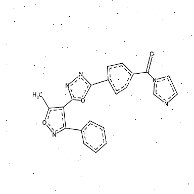 Cc1onc(-c2ccccc2)c1-c1nnc(-c2ccc(C(=O)n3ccnc3)cc2)o1